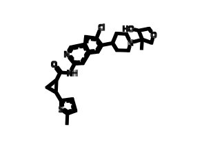 Cc1ccc(C2CC2C(=O)Nc2cc3cc(C4CCN(C5(C)COCC5O)CC4)c(Cl)cc3cn2)s1